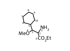 CCOC(=O)C(N)C(OC)C1CCCCC1